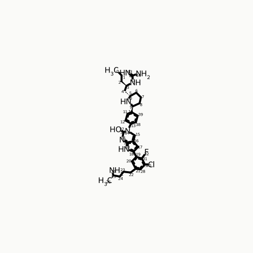 CCC[C@H](C[C@@H]1CCC[C@@H](c2ccc(N3C=c4cc(-c5cc(CCC[C@H](C)N)cc(Cl)c5F)[nH]c4=NC3O)cc2)N1)NC(=N)N